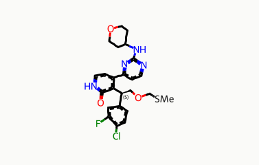 CSCOC[C@@H](c1ccc(Cl)c(F)c1)c1c(-c2ccnc(NC3CCOCC3)n2)cc[nH]c1=O